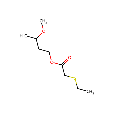 CCSCC(=O)OCCC(C)OC